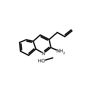 C=CCc1cc2ccccc2nc1N.CO